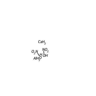 O=[N+]([O-])O.O=[N+]([O-])O.[AlH3].[CaH2]